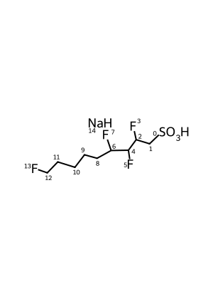 O=S(=O)(O)CC(F)C(F)C(F)CCCCCF.[NaH]